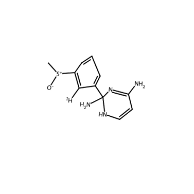 [2H]c1c([S+](C)[O-])cccc1C1(N)N=C(N)C=CN1